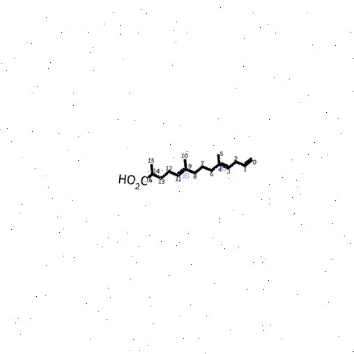 C=CC/C=C(\C)CCC/C(C)=C/CCC(C)C(=O)O